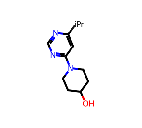 CC(C)c1cc(N2CCC(O)CC2)ncn1